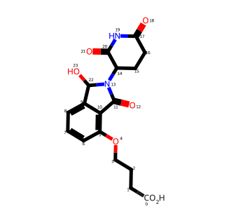 O=C(O)CCCOc1cccc2c1C(=O)N(C1CCC(=O)NC1=O)C2O